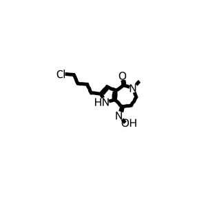 CN1CCC(=NO)c2[nH]c(CCCCCl)cc2C1=O